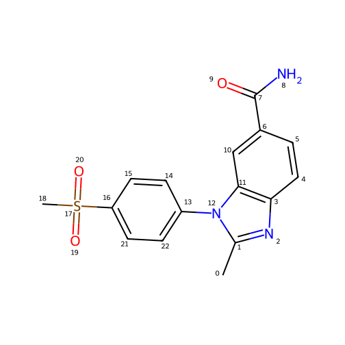 Cc1nc2ccc(C(N)=O)cc2n1-c1ccc(S(C)(=O)=O)cc1